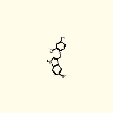 Clc1ccc(Cc2c[nH]c3ccc(Br)cc23)c(Cl)c1